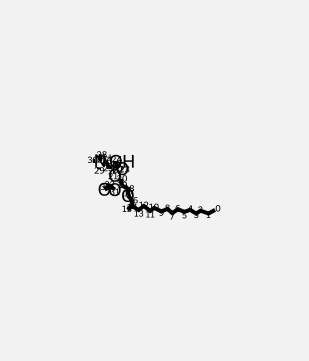 CCCCCCCCCCCCCCC(C)COCC(COP(=O)(O)CC[N+](C)(C)C)OC=O